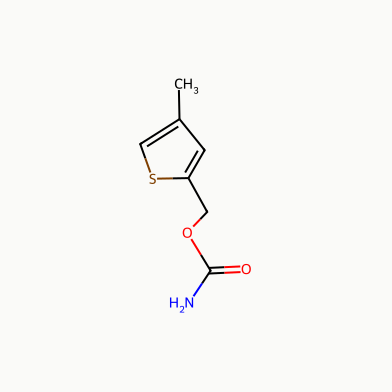 Cc1csc(COC(N)=O)c1